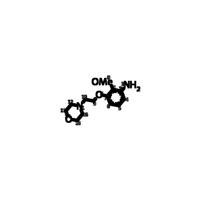 COc1c(N)cccc1OCCN1CCOCC1